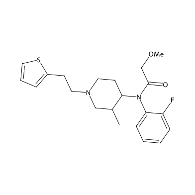 COCC(=O)N(c1ccccc1F)C1CCN(CCc2cccs2)CC1C